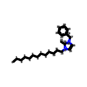 CCCCCCCCCCCCCN1C=CN(Cc2ccccc2)C1C